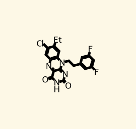 CCc1cc2c(cc1Cl)nc1c(=O)[nH]c(=O)nc-1n2CCc1cc(F)cc(F)c1